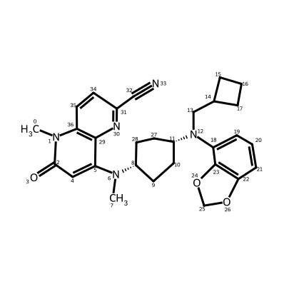 Cn1c(=O)cc(N(C)[C@H]2CC[C@@H](N(CC3CCC3)c3cccc4c3OCO4)CC2)c2nc(C#N)ccc21